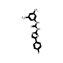 O=C(Nc1cc(C(F)(F)F)cc(C(F)(F)F)c1)Nc1nc(-c2ccc(F)cc2)cs1